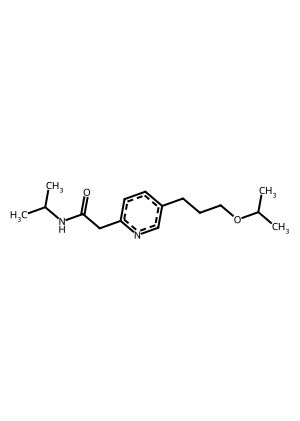 CC(C)NC(=O)Cc1ccc(CCCOC(C)C)cn1